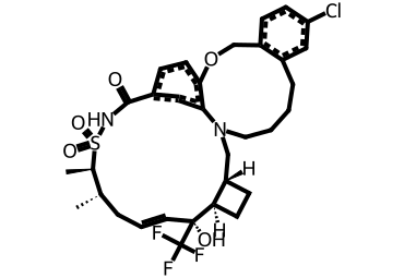 C[C@@H]1[C@@H](C)C/C=C/[C@](O)(C(F)(F)F)[C@@H]2CC[C@H]2CN2CCCCc3cc(Cl)ccc3COc3ccc(cc32)C(=O)NS1(=O)=O